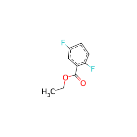 CCOC(=O)c1cc(F)ccc1F